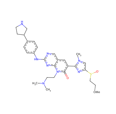 COCC[S+]([O-])c1cn(C)c(-c2cc3cnc(Nc4ccc(C5CCNC5)cc4)nc3n(CCN(C)C)c2=O)n1